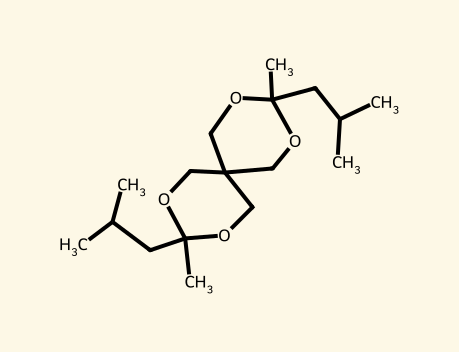 CC(C)CC1(C)OCC2(CO1)COC(C)(CC(C)C)OC2